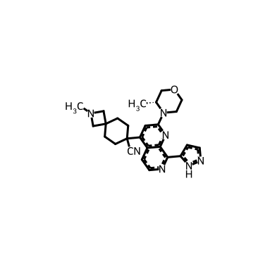 C[C@@H]1COCCN1c1cc(C2(C#N)CCC3(CC2)CN(C)C3)c2ccnc(-c3ccn[nH]3)c2n1